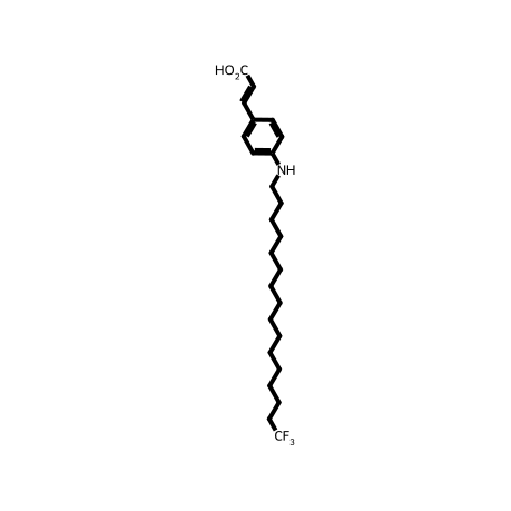 O=C(O)C=Cc1ccc(NCCCCCCCCCCCCCCCC(F)(F)F)cc1